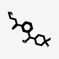 CN(c1cccc(C(=O)CCN)c1)C1CCC(F)(F)CC1